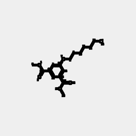 COC(=O)c1cc(OCCCCCCCl)cc(C(=O)OC)c1